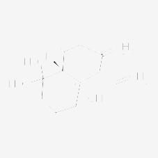 C=C[C@H]1C(=C)CC[C@H]2C(C)(C)CCC[C@]12C